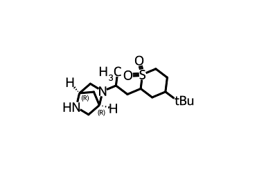 CC(CC1CC(C(C)(C)C)CCS1(=O)=O)N1C[C@H]2C[C@@H]1CN2